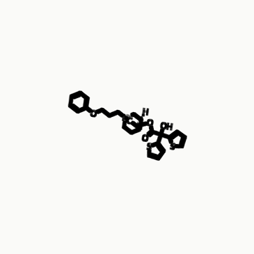 O=C(O[C@@H]1C[N+]2(CCCOc3ccccc3)CCC1CC2)C(O)(c1cccs1)c1cccs1